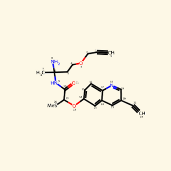 C#CCOCCC(C)(N)NC(=O)C(Oc1ccc2ncc(C#C)cc2c1)SC